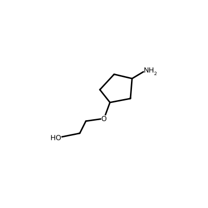 NC1CCC(OCCO)C1